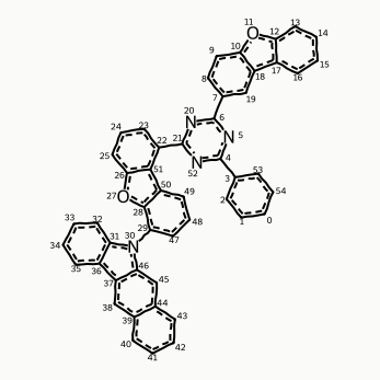 c1ccc(-c2nc(-c3ccc4oc5ccccc5c4c3)nc(-c3cccc4oc5c(-n6c7ccccc7c7cc8ccccc8cc76)cccc5c34)n2)cc1